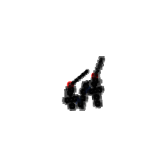 C#CC#CC#CC#CC#COc1ccc2cc(-c3c4ccccc4c(-c4ccccc4)c4cc(-n5c6ccc(C)cc6c6ccc(-c7ccc8c9ccc(C)cc9n(-c9ccc%10c(-c%11ccc(-c%12ccccc%12)cc%11)c%11ccccc%11c(-c%11ccc%12cc(OCCCCCCCCCC)ccc%12c%11)c%10c9)c8c7)cc65)ccc34)ccc2c1